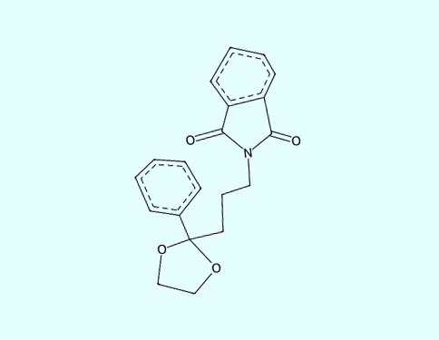 O=C1c2ccccc2C(=O)N1CCCC1(c2ccccc2)OCCO1